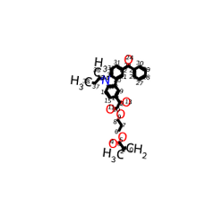 C=C(C)C(=O)OCCCOC(=O)C(=O)c1ccc2c(c1)c1cc(C(=O)c3ccccc3)ccc1n2C(C)CC